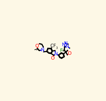 C[C@@H]1CN(Cc2cc3c(c(C(F)(F)F)c2)CN(c2cccc(C4([C@@H](F)c5nncn5C)COC4)c2)C3=O)CCCO1